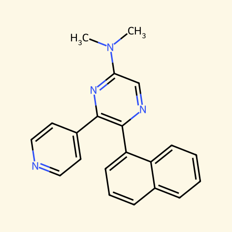 CN(C)c1cnc(-c2cccc3ccccc23)c(-c2ccncc2)n1